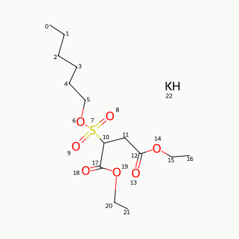 CCCCCCOS(=O)(=O)C(CC(=O)OCC)C(=O)OCC.[KH]